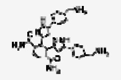 NCc1ccc(-c2cc(-c3c(C(N)=O)ccc(C(N)=O)c3-c3cc(-c4ccc(CN)cc4)[nH]n3)n[nH]2)cc1